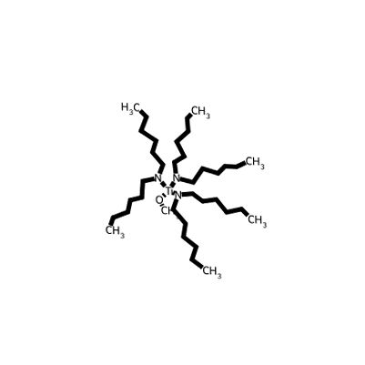 CCCCCC[N](CCCCCC)[Ti]([O]C)([N](CCCCCC)CCCCCC)[N](CCCCCC)CCCCCC